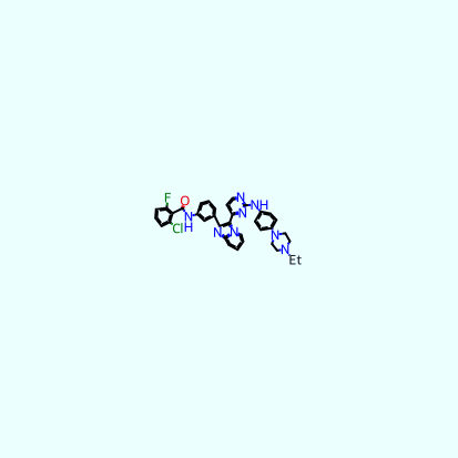 CCN1CCN(c2ccc(Nc3nccc(-c4c(-c5cccc(NC(=O)c6c(F)cccc6Cl)c5)nc5ccccn45)n3)cc2)CC1